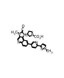 CN1C(=C=O)N([C@H]2CCN(C(=O)O)C2)c2c1cnc1ccc(-c3ccc(-c4ccn(C)n4)nc3)cc21